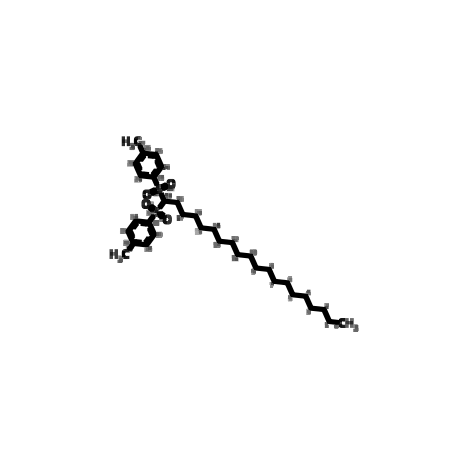 CCCCCCCCCCCCCCCCCCCC(S(=O)(=O)c1ccc(C)cc1)S(=O)(=O)c1ccc(C)cc1